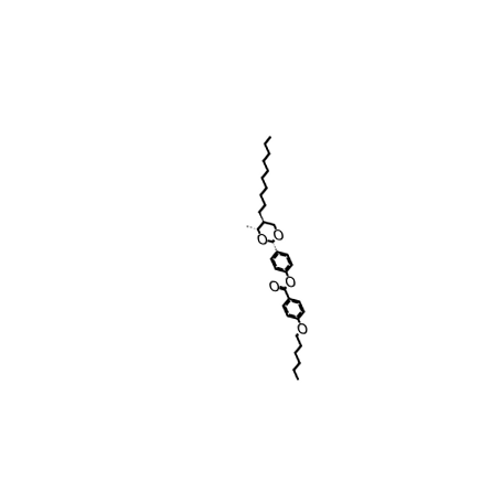 CCCCCCCCCC[C@H]1CO[C@H](c2ccc(OC(=O)c3ccc(OCCCCCC)cc3)cc2)O[C@@H]1C